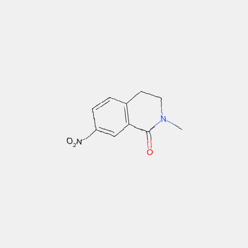 CN1CCc2ccc([N+](=O)[O-])cc2C1=O